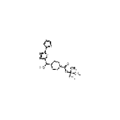 CC(C)(C)OC(=O)N1CCC(C(O)c2nnc(-c3ccco3)o2)CC1